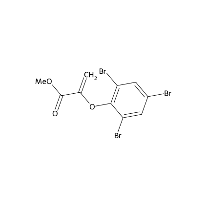 C=C(Oc1c(Br)cc(Br)cc1Br)C(=O)OC